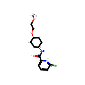 COCCO[C@H]1CC[C@H](NC(=O)c2cccc(Br)n2)CC1